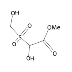 COC(=O)C(O)S(=O)(=O)CO